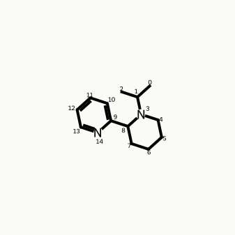 CC(C)N1CCCCC1c1ccccn1